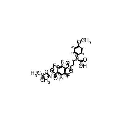 COc1ccc(N(CCS(=O)(=O)c2c(F)c(F)c(S(=O)(=O)N=CN(C)C)c(F)c2F)C(=O)O)cc1